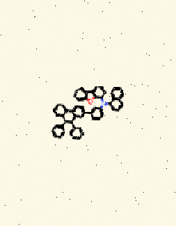 c1ccc(-c2c(-c3ccccc3)c3cc(-c4cccc(N(c5cccc6ccccc56)c5cccc6c5oc5ccccc56)c4)ccc3c3ccccc23)cc1